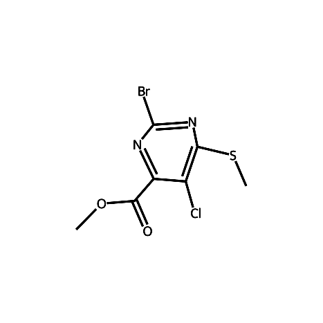 COC(=O)c1nc(Br)nc(SC)c1Cl